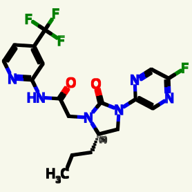 CCC[C@H]1CN(c2cnc(F)cn2)C(=O)N1CC(=O)Nc1cc(C(F)(F)F)ccn1